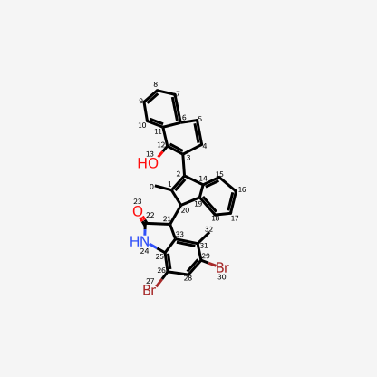 CC1=C(c2ccc3ccccc3c2O)c2ccccc2C1C1C(=O)Nc2c(Br)cc(Br)c(C)c21